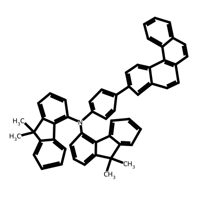 CC1(C)c2ccccc2-c2c(N(c3ccc(-c4ccc5c(ccc6ccc7ccccc7c65)c4)cc3)c3cccc4c3-c3ccccc3C4(C)C)cccc21